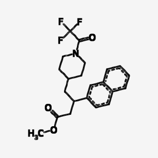 COC(=O)CC(CC1CCN(C(=O)C(F)(F)F)CC1)c1ccc2ccccc2c1